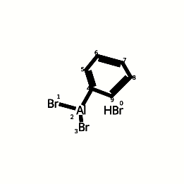 Br.[Br][Al]([Br])[c]1ccccc1